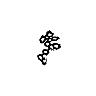 c1ccc2c(c1)-c1ccccc1C21c2ccccc2-c2c1ccc1c(-c3ccc(-c4cccc5cccnc45)cc3)nc3ccccc3c21